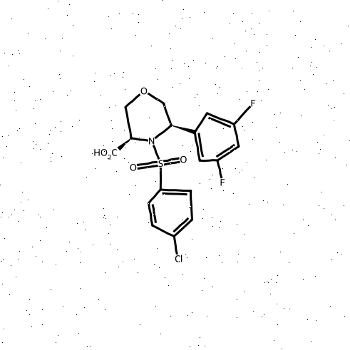 O=C(O)[C@H]1COC[C@@H](c2cc(F)cc(F)c2)N1S(=O)(=O)c1ccc(Cl)cc1